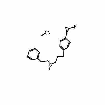 CC#N.CN(CCCc1ccc(C2CC2F)cc1)CCc1ccccc1